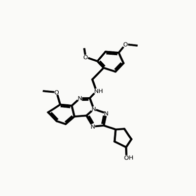 COc1ccc(CNc2nc3c(OC)cccc3c3nc(C4CCC(O)C4)nn23)c(OC)c1